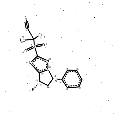 CC(C)(C#N)S(=O)(=O)c1nc2n(n1)[C@H](c1ccccc1)C[C@@H]2F